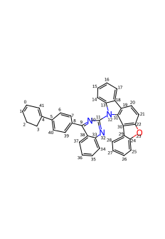 C1=CCCC(c2ccc(-c3nc(-n4c5ccccc5c5ccc6oc7ccccc7c6c54)nc4ccccc34)cc2)=C1